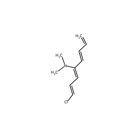 C=CC=CC(=CC=CCl)N(C)C